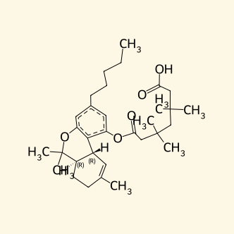 CCCCCc1cc(OC(=O)CC(C)(C)CC(C)(C)CC(=O)O)c2c(c1)OC(C)(C)[C@@H]1CCC(C)=C[C@@H]21